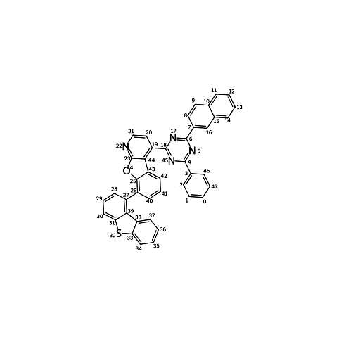 c1ccc(-c2nc(-c3ccc4ccccc4c3)nc(-c3ccnc4oc5c(-c6cccc7sc8ccccc8c67)cccc5c34)n2)cc1